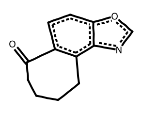 O=C1CCCCc2c1ccc1ocnc21